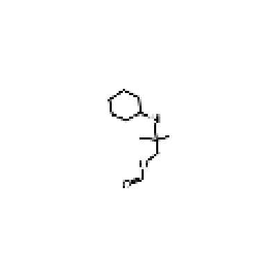 CC(C)(CO[C]=O)NC1CCCCC1